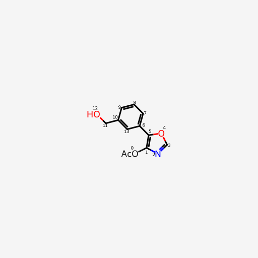 CC(=O)Oc1ncoc1-c1cccc(CO)c1